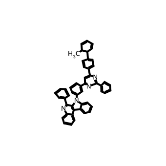 CC1C=CC=CC1c1ccc(-c2cc(-c3cccc(-n4c5ccccc5c5c6ccccc6nc(-c6ccccc6)c54)c3)nc(-c3ccccc3)n2)cc1